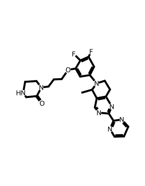 CC1c2cnc(-c3ncccn3)nc2CCN1c1cc(F)c(F)c(OCCCN2CCNCC2=O)c1